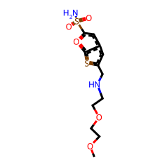 COCCOCCNCc1cc2cc(S(N)(=O)=O)oc2s1